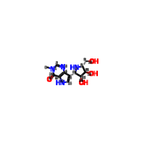 Cn1cnc2c([C@@H]3N[C@H](CO)[C@@H](O)[C@H]3O)c[nH]c2c1=O